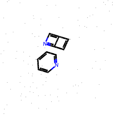 [c]1cc2ncc1-2.[c]1ccncc1